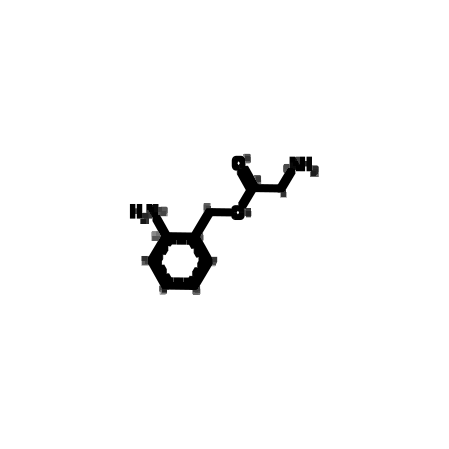 NCC(=O)OCc1ccccc1N